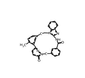 Cc1ccc2cc1-c1ccc(=O)n(n1)Cc1cccc(c1)C(=O)Nc1nc3ccccc3n1CC2